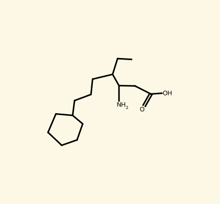 CCC(CCCC1CCCCC1)C(N)CC(=O)O